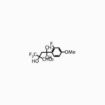 COc1ccc(C(C)(C)CC(O)(C=O)C(F)(F)F)c(F)c1